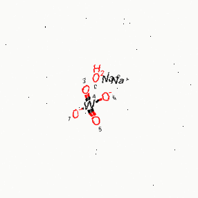 O.[Na+].[Na+].[O]=[W](=[O])([O-])[O-]